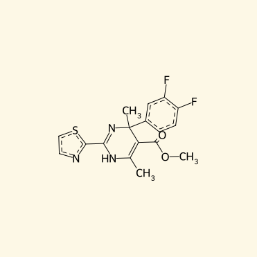 COC(=O)C1=C(C)NC(c2nccs2)=NC1(C)c1ccc(F)c(F)c1